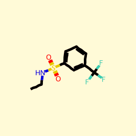 CCNS(=O)(=O)c1cccc(C(F)(F)F)c1